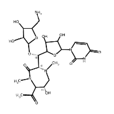 CC(=O)C1[C@@H](O)CN(C)[C@@H]([C@H](OC2OC(CN)C(O)C2O)C2OC(n3ccc(=O)[nH]c3=O)C(O)C2O)C(=O)N1C